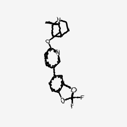 CC1C(Oc2ccc(-c3ccc4c(c3)OC(F)(F)O4)cn2)C2CCN1CC2